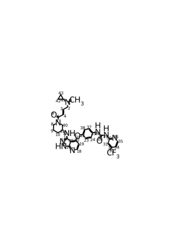 CN(CC=CC(=O)N1CCC[C@@H](Nc2n[nH]c3nccc(Oc4ccc(NC(=O)Nc5cc(C(F)(F)F)ccn5)cc4)c23)C1)C1CC1